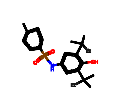 CCC(C)(C)c1cc(NS(=O)(=O)c2ccc(C)cc2)cc(C(C)(C)CC)c1O